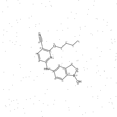 CCCCOc1nc(Nc2ccc3c(c2)COB3O)ccc1C#N